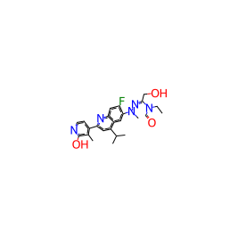 CCN(C=O)/C(CO)=N\N(C)c1cc2c(C(C)C)cc(-c3ccnc(O)c3C)nc2cc1F